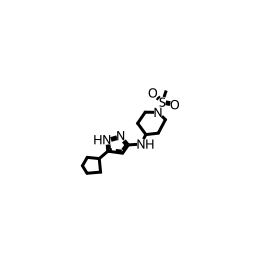 CS(=O)(=O)N1CCC(Nc2cc(C3CCCC3)[nH]n2)CC1